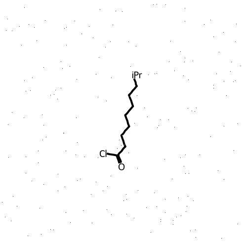 CC(C)CCCCCCCC(=O)Cl